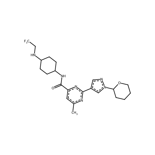 Cc1cc(C(=O)NC2CCC(NCC(F)(F)F)CC2)nc(-c2cnn(C3CCCCO3)c2)n1